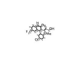 COc1ccc(Cl)cc1-c1c(/C=C(\F)CO)c(=O)[nH]c2ccc(C(F)(F)F)cc12